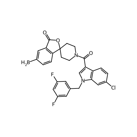 Bc1ccc2c(c1)C(=O)OC21CCN(C(=O)c2cn(Cc3cc(F)cc(F)c3)c3cc(Cl)ccc23)CC1